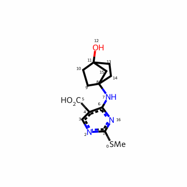 CSc1ncc(C(=O)O)c(NC23CCC(O)(CC2)C3)n1